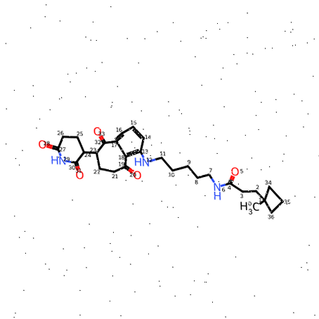 CC1(CCC(=O)NCCCCCNc2cccc3c2C(=O)CCC(C2CCC(=O)NC2=O)C3=O)CCC1